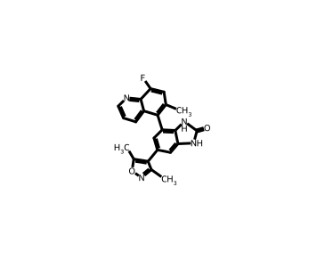 Cc1cc(F)c2ncccc2c1-c1cc(-c2c(C)noc2C)cc2[nH]c(=O)[nH]c12